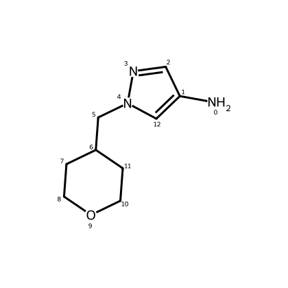 Nc1cnn(CC2CCOCC2)c1